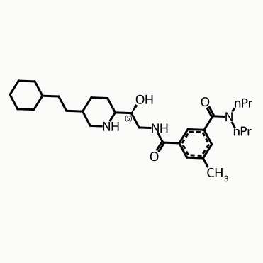 CCCN(CCC)C(=O)c1cc(C)cc(C(=O)NC[C@H](O)C2CCC(CCC3CCCCC3)CN2)c1